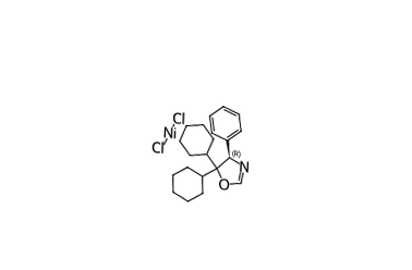 C1=N[C@H](c2ccccc2)C(C2CCCCC2)(C2CCCCC2)O1.[Cl][Ni][Cl]